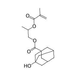 C=C(C)C(=O)OC(C)COC(=O)C12CC3CC(CC(O)(C3)C1)C2